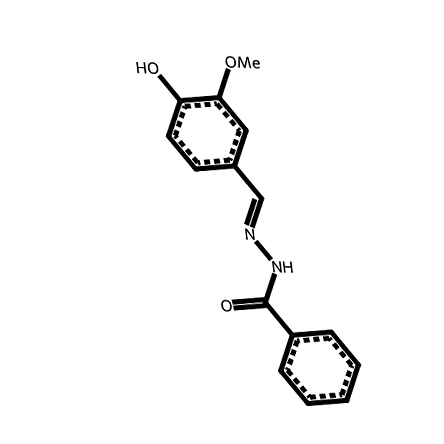 COc1cc(C=NNC(=O)c2ccccc2)ccc1O